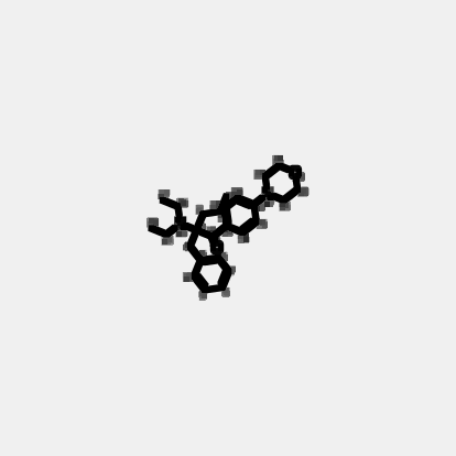 CCCC(Cc1ccccc1)(C(=O)c1ccc(N2CCOCC2)cc1)N(CC)CC